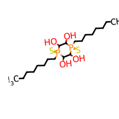 CCCCCCCCP1(=S)C(O)C(O)P(=S)(CCCCCCCC)C(O)C1O